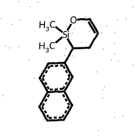 C[Si]1(C)OC=CCC1c1ccc2ccccc2c1